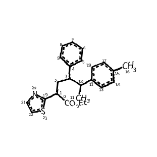 CCOC(=O)C(CC(c1ccccc1)C(C)c1ccc(C)cc1)c1nccs1